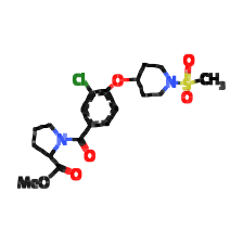 COC(=O)C1CCCN1C(=O)c1ccc(OC2CCN(S(C)(=O)=O)CC2)c(Cl)c1